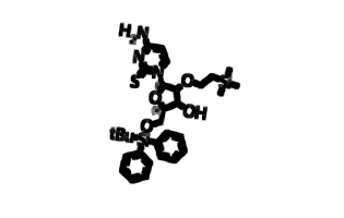 CC(C)(C)[Si](OC[C@H]1O[C@@H](n2ccc(N)nc2=S)C(OCC[Si](C)(C)C)C1O)(c1ccccc1)c1ccccc1